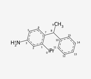 CC(C)c1cc(N)ccc1C(C)c1ccccc1